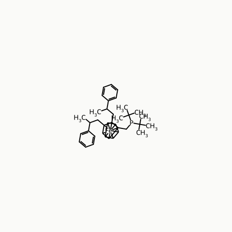 CC(C[C]12[CH]3[CH]4[C]5(CP(C(C)(C)C)C(C)(C)C)[C]1(CC(C)c1ccccc1)[Fe]34251678[CH]2[CH]1[CH]6[CH]7[CH]28)c1ccccc1